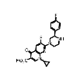 O=C(O)c1cn(C2CC2)c2nc(N3CCNC(c4ccc(F)cc4)C3)c(F)cc2c1=O